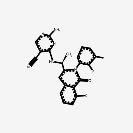 C[C@H](Nc1nc(N)ncc1C#N)c1cc2cccc(Cl)c2c(=O)n1-c1cccc(F)c1F